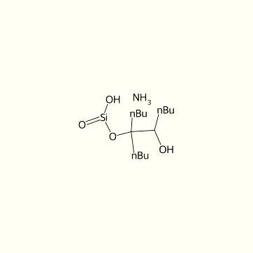 CCCCC(O)C(CCCC)(CCCC)O[Si](=O)O.N